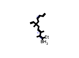 B/C(CC)=C(C)/C(C)=C/CC(C)(C=C)C/C=C\C=C